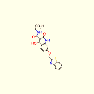 O=C(O)CNC(=O)c1c(O)c2ccc(OCc3nc4ccccc4s3)cc2[nH]c1=O